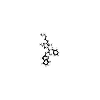 NCCC[C@@H](N)C(=O)N[C@H](Cc1ccccc1)C(=O)Oc1ccc2ccccc2n1